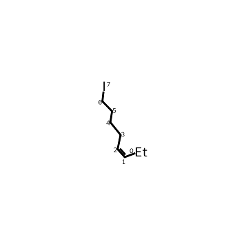 CC/C=C\CCCCI